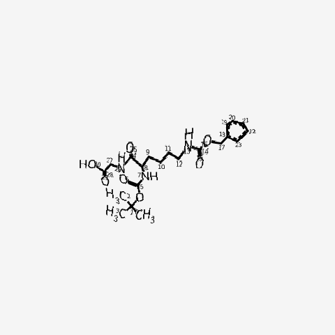 CC(C)(C)OC(=O)NC(CCCCNC(=O)OCc1ccccc1)C(=O)NCC(=O)O